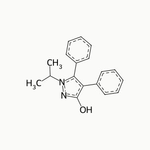 CC(C)n1nc(O)c(-c2ccccc2)c1-c1ccccc1